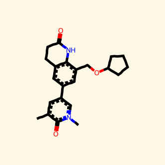 Cc1cc(-c2cc3c(c(COC4CCCC4)c2)NC(=O)CC3)cn(C)c1=O